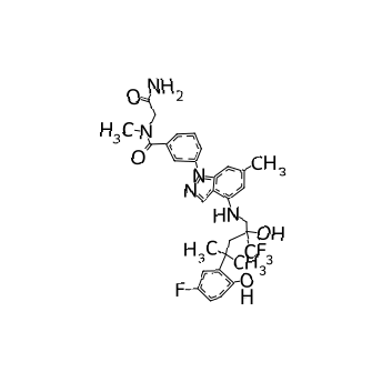 Cc1cc(NCC(O)(CC(C)(C)c2cc(F)ccc2O)C(F)(F)F)c2cnn(-c3cccc(C(=O)N(C)CC(N)=O)c3)c2c1